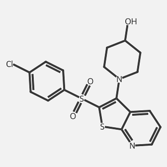 O=S(=O)(c1ccc(Cl)cc1)c1sc2ncccc2c1N1CCC(O)CC1